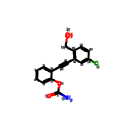 NC(=O)Oc1ccccc1C#Cc1cc(Cl)ccc1CO